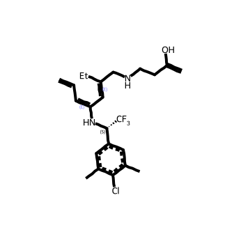 C=C/C=C(\C=C(/CC)CNCCC(=C)O)N[C@@H](c1cc(C)c(Cl)c(C)c1)C(F)(F)F